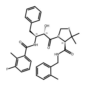 Cc1ccccc1CNC(=O)[C@H]1N(C(=O)[C@@H](O)[C@H](Cc2ccccc2)NC(=O)c2cccc(F)c2C)CSC1(C)C